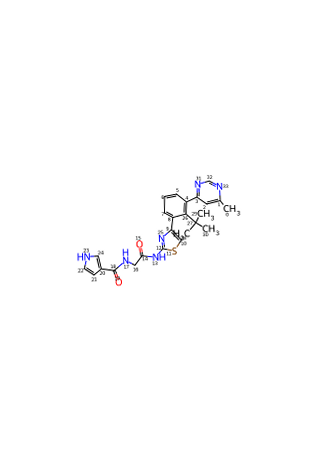 Cc1cc(-c2cccc(-c3csc(NC(=O)CNC(=O)c4cc[nH]c4)n3)c2C(C)(C)C)ncn1